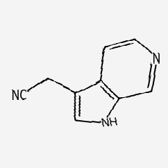 N#CCc1c[nH]c2cnccc12